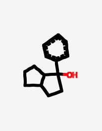 OC1(c2ccccc2)CCC2CCCC21